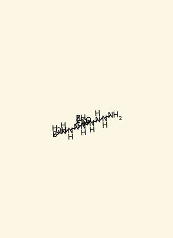 CBCC(O)CNCCNCCN(CCNC(=O)CC(=O)NCCNCCNCCN)CC(O)CBC